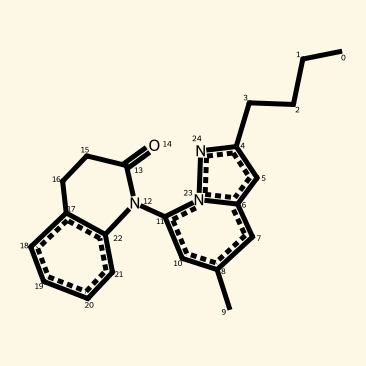 CCCCc1cc2cc(C)cc(N3C(=O)CCc4ccccc43)n2n1